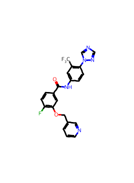 O=C(Nc1ccc(-n2cncn2)c(C(F)(F)F)c1)c1ccc(F)c(OCc2cccnc2)c1